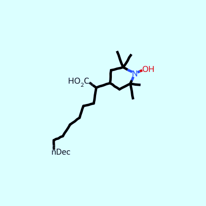 CCCCCCCCCCCCCCCCC(C(=O)O)C1CC(C)(C)N(O)C(C)(C)C1